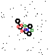 O=C(Cc1ccccc1Nc1c(Cl)cccc1Cl)OC1COC(c2ccccc2)OC1